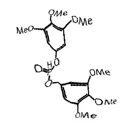 COc1cc(O[PH](=O)Oc2cc(OC)c(OC)c(OC)c2)cc(OC)c1OC